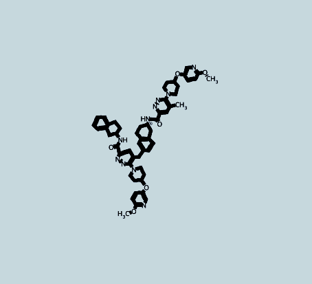 COc1ccc(OC2CCN(c3nnc(C(=O)N[C@H]4CCc5cc(Cc6cc(C(=O)NC7CCc8ccccc8C7)nnc6N6CCC(Oc7ccc(OC)nc7)CC6)ccc5C4)cc3C)CC2)cn1